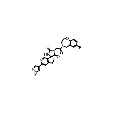 Cn1cc(-c2cc3c(cn2)[C@@]2(CC3)NC(=O)N(CC(=O)N3CCOc4ccc(F)cc4C3)C2=O)cn1